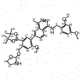 COc1ccc(CNc2nnc(C)c3cc(-c4cc(B5OC(C)(C)C(C)(C)O5)c(COC5NCCO5)cc4OC)ccc23)c(OC)c1